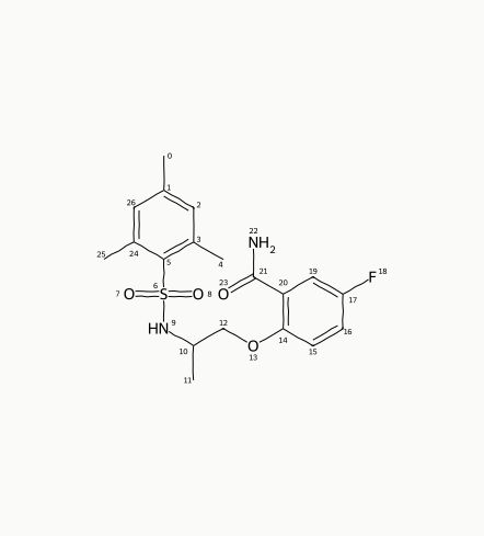 Cc1cc(C)c(S(=O)(=O)NC(C)COc2ccc(F)cc2C(N)=O)c(C)c1